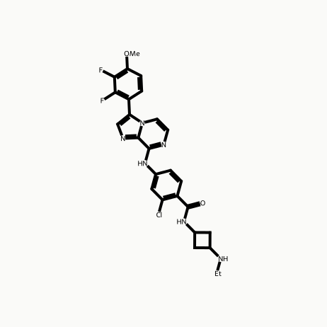 CCNC1CC(NC(=O)c2ccc(Nc3nccn4c(-c5ccc(OC)c(F)c5F)cnc34)cc2Cl)C1